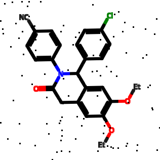 CCOc1cc2c(cc1OCC)C(c1ccc(Cl)cc1)N(c1ccc(C#N)cc1)C(=O)C2